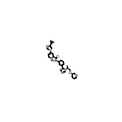 CC(COc1cccnc1)n1cnnc1-c1cccc(NC(=O)C2=CC(n3cnc(C4CC4)c3)=CCN2C)c1